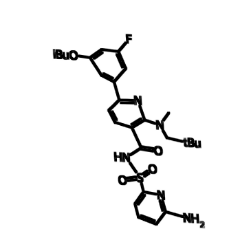 CC(C)COc1cc(F)cc(-c2ccc(C(=O)NS(=O)(=O)c3cccc(N)n3)c(N(C)CC(C)(C)C)n2)c1